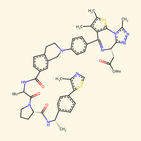 COC(=O)C[C@@H]1N=C(c2ccc(N3CCc4ccc(C(=O)NC(C(=O)N5CCC[C@H]5C(=O)N[C@@H](C)c5ccc(-c6scnc6C)cc5)C(C)(C)C)cc4C3)cc2)c2c(sc(C)c2C)-n2c(C)nnc21